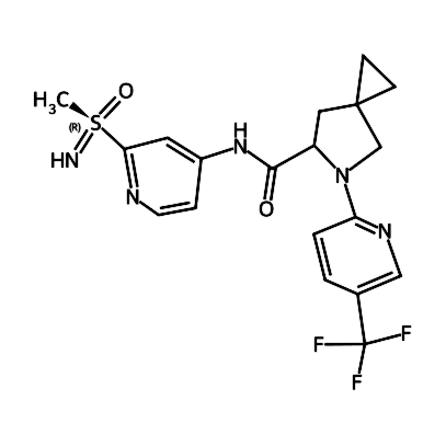 C[S@@](=N)(=O)c1cc(NC(=O)C2CC3(CC3)CN2c2ccc(C(F)(F)F)cn2)ccn1